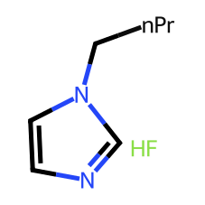 CCCCn1ccnc1.F